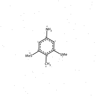 CSc1cc(N)cc(SC)c1C